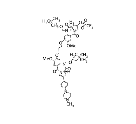 COc1cc2c(cc1OCCCOc1cc3c(cc1OC)C(=O)N1C=C(OS(=O)(=O)C(F)(F)F)C[C@@]1(C)C(=O)N3COCC[Si](C)(C)C)N(COCC[Si](C)(C)C)C(=O)[C@@H]1CC(c3ccc(N4CCN(C)CC4)cc3)=CN1C2=O